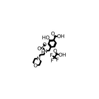 O=C(O)C(F)(F)F.O=C(O)c1ccc(CN(CCN2CCOCC2)[SH](=O)=O)cc1O